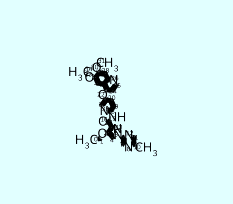 CCOc1cn(-c2cnc(C)cn2)nc1C(=O)Nc1ccc(Oc2ccnc3cc(OC)c(OC)cc23)cn1